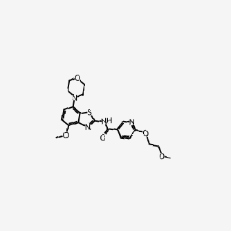 COCCOc1ccc(C(=O)Nc2nc3c(OC)ccc(N4CCOCC4)c3s2)cn1